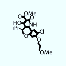 COCCCOc1cc2c(cc1Cl)-c1[nH]c(=O)c(C(=O)OC)c(O)c1[C@H](C(C)C)CO2